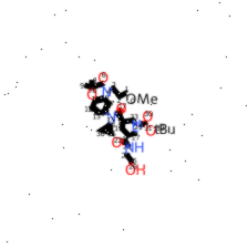 COCCCN1C(=O)C(C)(C)Oc2ccc(N(C(=O)C3C[C@H](C(=O)NCCO)CN(C(=O)OC(C)(C)C)C3)C3CC3)cc21